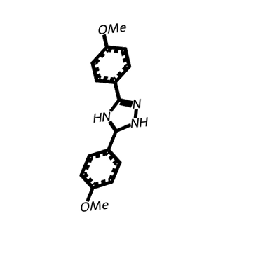 COc1ccc(C2=NNC(c3ccc(OC)cc3)N2)cc1